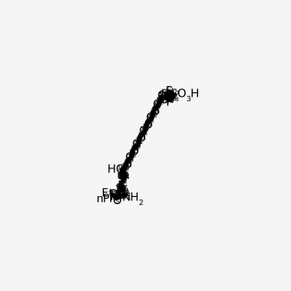 CCCN(OCC)C(=O)C1=Cc2sc(CCC3CCN(C(O)CCOCCOCCOCCOCCOCCOCCOCCOCCOCCOCCC(=O)Oc4c(F)c(F)c(S(=O)(=O)O)c(F)c4F)CC3)cc2N=C(N)C1